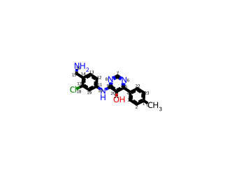 Cc1ccc(-c2ncnc(Nc3ccc(CN)c(Cl)c3)c2O)cc1